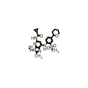 Cc1nc2c(Nc3ccc(C4CCCCO4)cc3S(C)(=O)=O)cc(NC(=O)C3CC3)nc2n1PI